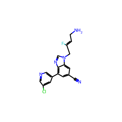 N#Cc1cc(-c2cncc(Cl)c2)c2ncn(CC(F)=CCN)c2c1